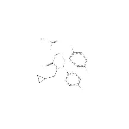 O=C(O)C[C@@H]1O[C@H](c2cc(Cl)ccc2F)[C@@H](c2ccc(Cl)cc2)N(CC2CC2)C1=O